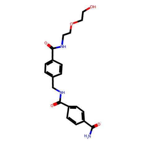 NC(=O)c1ccc(C(=O)NCc2ccc(C(=O)NCCOCCO)cc2)cc1